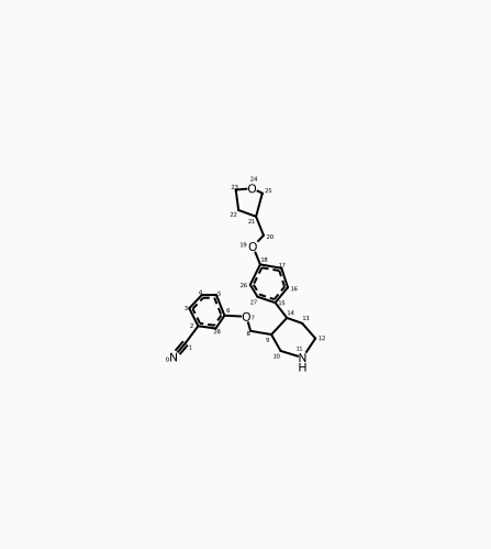 N#Cc1cccc(OCC2CNCCC2c2ccc(OCC3CCOC3)cc2)c1